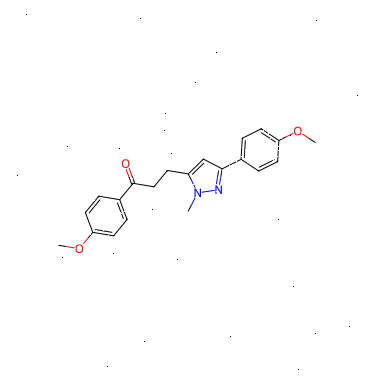 COc1ccc(C(=O)CCc2cc(-c3ccc(OC)cc3)nn2C)cc1